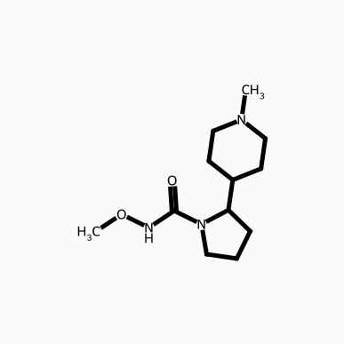 CONC(=O)N1CCCC1C1CCN(C)CC1